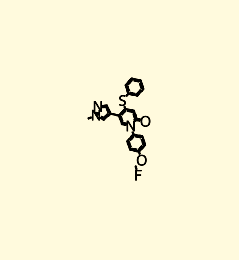 Cn1cc(-c2cn(-c3ccc(OCF)cc3)c(=O)cc2Sc2ccccc2)cn1